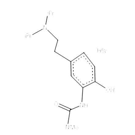 Br.CNC(=O)Nc1cc(CCN(C(C)C)C(C)C)ccc1O